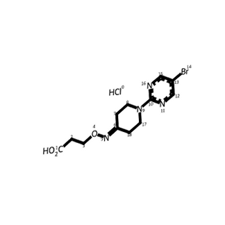 Cl.O=C(O)CCON=C1CCN(c2ncc(Br)cn2)CC1